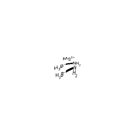 [BH3-]N.[BH3-]N.[Mg+2]